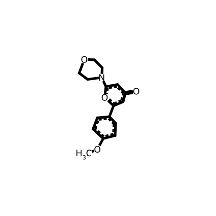 COc1ccc(-c2cc(=O)cc(N3CCOCC3)o2)cc1